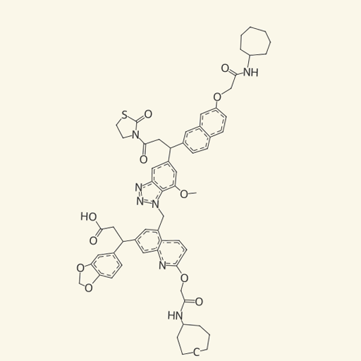 COc1cc(C(CC(=O)N2CCSC2=O)c2ccc3ccc(OCC(=O)NC4CCCCCC4)cc3c2)cc2nnn(Cc3cc(C(CC(=O)O)c4ccc5c(c4)OCO5)cc4nc(OCC(=O)NC5CCCCCC5)ccc34)c12